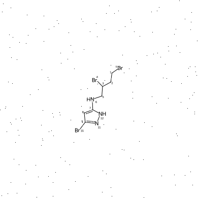 BrCCC(Br)CNc1cc(Br)n[nH]1